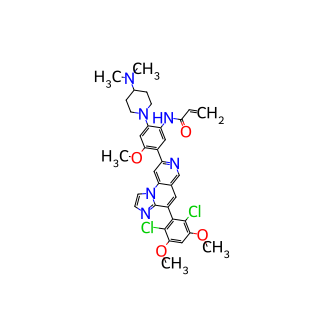 C=CC(=O)Nc1cc(-c2cc3c(cn2)cc(-c2c(Cl)c(OC)cc(OC)c2Cl)c2nccn23)c(OC)cc1N1CCC(N(C)C)CC1